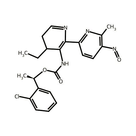 CCC1CC=NC(c2ccc(N=O)c(C)n2)=C1NC(=O)O[C@H](C)c1ccccc1Cl